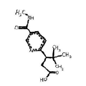 CNC(=O)c1ccc(C(CC(=O)O)C(C)(C)C)nc1